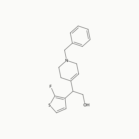 OCC(C1=CCN(Cc2ccccc2)CC1)c1ccsc1F